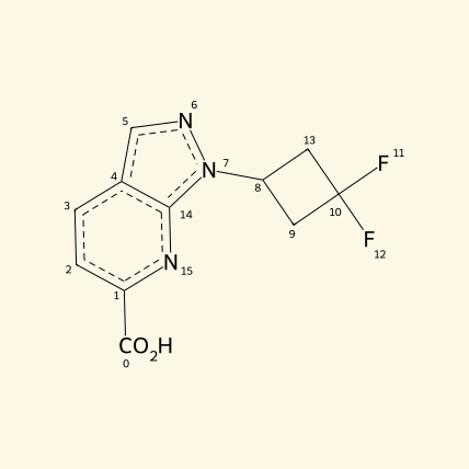 O=C(O)c1ccc2cnn(C3CC(F)(F)C3)c2n1